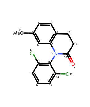 COc1ccc2c(c1)N(c1c(Cl)cccc1Cl)C(=O)CC2